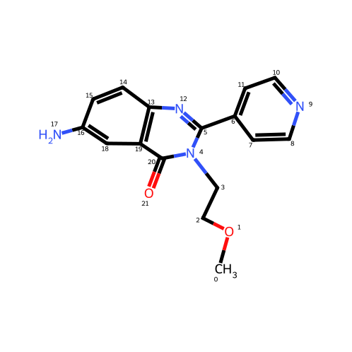 COCCn1c(-c2ccncc2)nc2ccc(N)cc2c1=O